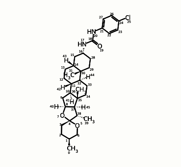 C[C@H]1CC[C@@]2(OC1)O[C@H]1C[C@H]3[C@@H]4CC[C@@H]5C[C@H](NC(=O)Nc6ccc(Cl)cc6)CC[C@]5(C)[C@H]4CC[C@]3(C)[C@H]1[C@@H]2C